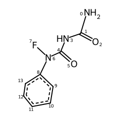 NC(=O)NC(=O)N(F)c1ccccc1